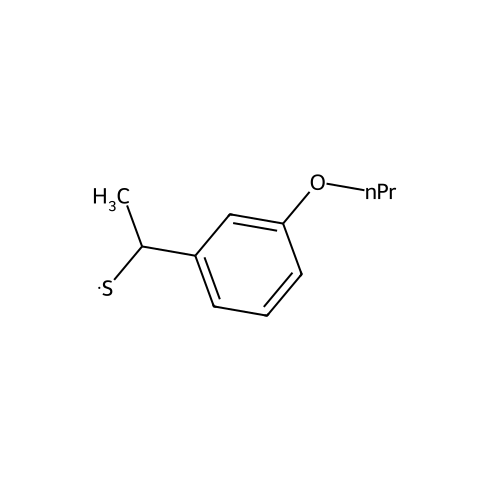 CCCOc1cccc(C(C)[S])c1